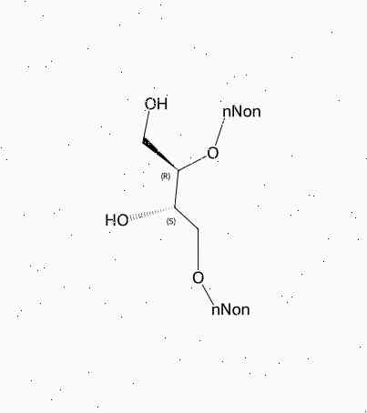 CCCCCCCCCOC[C@H](O)[C@@H](CO)OCCCCCCCCC